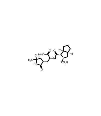 COC(=O)C(C[C@@H]1CC(C)(C)NC1=O)NC(=O)[C@@H]1[C@H]2CCC[C@H]2CN1C(=O)O